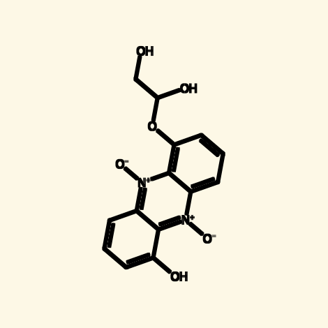 [O-][n+]1c2cccc(OC(O)CO)c2[n+]([O-])c2cccc(O)c21